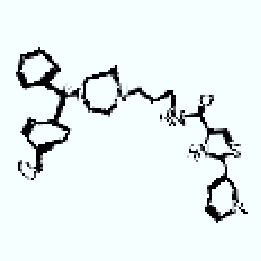 O=C(NCCCN1CCN([C@H](c2ccccc2)c2ccc(Cl)cc2)CC1)C1CSC(c2cccnc2)N1